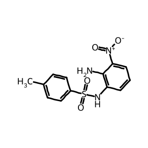 Cc1ccc(S(=O)(=O)Nc2cccc([N+](=O)[O-])c2N)cc1